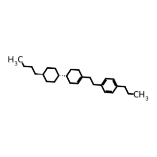 CCCC[C@H]1CC[C@H](C2CC=C(CCc3ccc(CCC)cc3)CC2)CC1